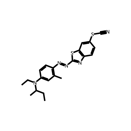 CCC(C)N(CC)c1ccc(N=Nc2nc3ccc(SC#N)cc3s2)c(C)c1